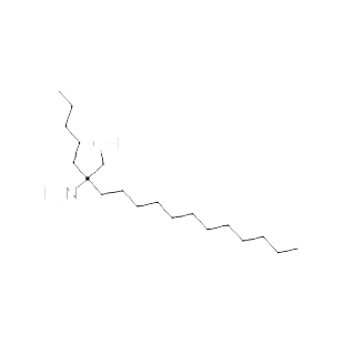 CCCCCCCCCCCCC(N)(CO)CCCCC